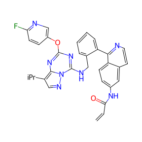 C=CC(=O)Nc1ccc2c(-c3ccccc3CNc3nc(Oc4ccc(F)nc4)nc4c(C(C)C)cnn34)nccc2c1